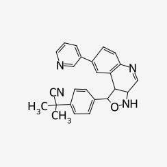 CC(C)(C#N)c1ccc(C2ONC3C=Nc4ccc(-c5cccnc5)cc4C32)cc1